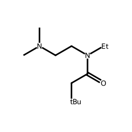 CCN(CCN(C)C)C(=O)CC(C)(C)C